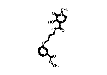 COC(=O)c1cccc(OCCCNC(=O)c2ccn(C)c(=O)c2O)c1